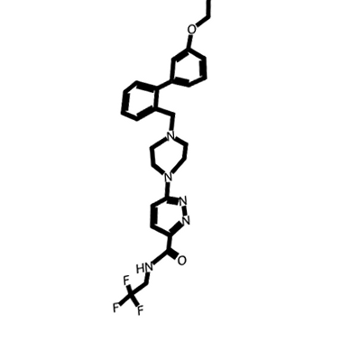 CCOc1cccc(-c2ccccc2CN2CCN(c3ccc(C(=O)NCC(F)(F)F)nn3)CC2)c1